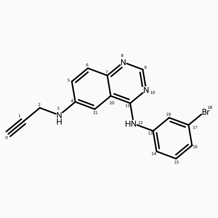 C#CCNc1ccc2ncnc(Nc3cccc(Br)c3)c2c1